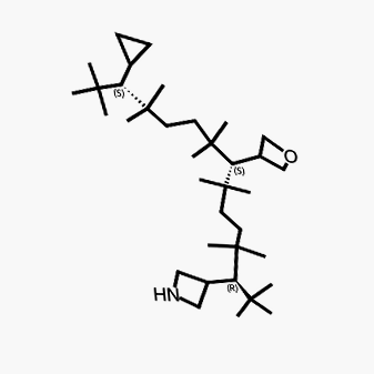 CC(C)(C)[C@@H](C1CNC1)C(C)(C)CCC(C)(C)[C@@H](C1COC1)C(C)(C)CCC(C)(C)[C@@H](C1CC1)C(C)(C)C